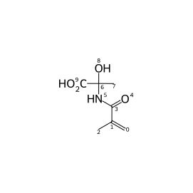 C=C(C)C(=O)NC(C)(O)C(=O)O